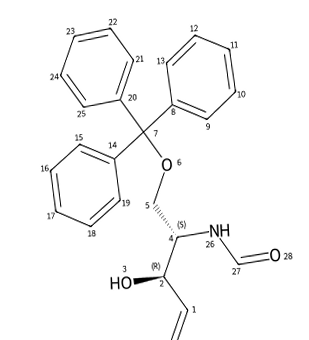 C=C[C@@H](O)[C@H](COC(c1ccccc1)(c1ccccc1)c1ccccc1)NC=O